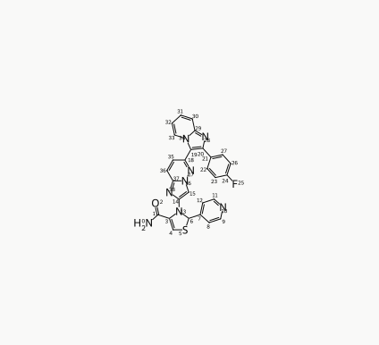 NC(=O)C1=CSC(c2ccncc2)N1c1cn2nc(-c3c(-c4ccc(F)cc4)nc4ccccn34)ccc2n1